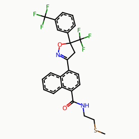 CSCCNC(=O)c1ccc(C2=NOC(c3cccc(C(F)(F)F)c3)(C(F)(F)F)C2)c2ccccc12